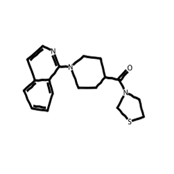 O=C(C1CCN(c2nccc3ccccc23)CC1)N1CCSC1